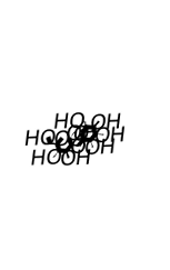 OC[C@H]1O[C@H](O)[C@@H](OC2O[C@H](CO)[C@@H](O)[C@H](O)[C@@H]2O)[C@@H](O)[C@@H]1O